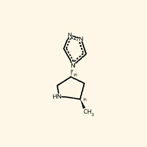 C[C@@H]1C[C@@H](n2cnnc2)CN1